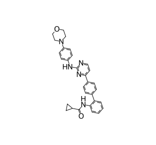 O=C(Nc1ccccc1-c1ccc(-c2ccnc(Nc3ccc(N4CCOCC4)cc3)n2)cc1)C1CC1